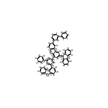 c1ccc(-c2cccc(-c3ccc4sc5c(-c6nc(-c7ccccc7)nc(-c7cccc8oc9ccccc9c78)n6)cc(-n6c7ccccc7c7ccccc76)cc5c4c3)c2)cc1